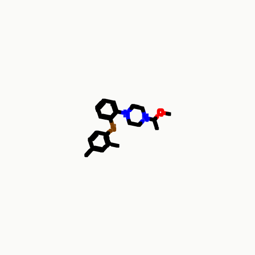 COC(C)N1CCN(c2ccccc2Sc2ccc(C)cc2C)CC1